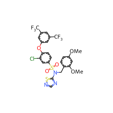 COc1ccc(CN(c2ncns2)S(=O)(=O)c2ccc(Oc3cc(C(F)(F)F)cc(C(F)(F)F)c3)c(Cl)c2)c(OC)c1